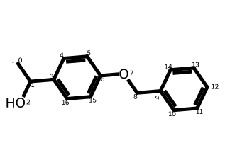 [CH2]C(O)c1ccc(OCc2ccccc2)cc1